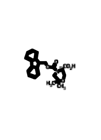 CC1(C)CN(C(=O)OCC2c3ccccc3-c3ccccc32)[C@H](C(=O)O)CO1